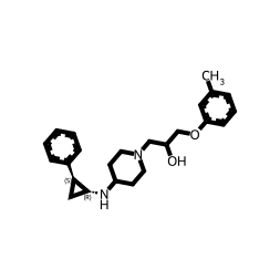 Cc1cccc(OCC(O)CN2CCC(N[C@@H]3C[C@H]3c3ccccc3)CC2)c1